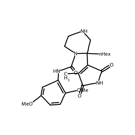 CCCCCCC1(C2=C(C)C(=O)NC2=O)CNCCN1C(=O)Nc1cc(OC)ccc1OC